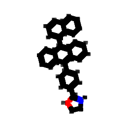 c1ccc2c(-c3c4ccccc4c(-c4ccc(C5=NCCO5)cc4)c4ccccc34)cccc2c1